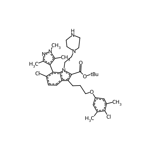 Cc1cc(OCCCc2c(C(=O)OC(C)(C)C)n(CCN3CCNCC3)c3c(-c4c(C)nn(C)c4C)c(Cl)ccc23)cc(C)c1Cl